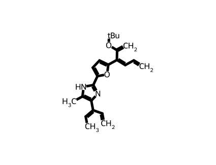 C=C/C=C(\C(=C)OC(C)(C)C)c1ccc(-c2nc(/C(C=C)=C/C)c(C)[nH]2)o1